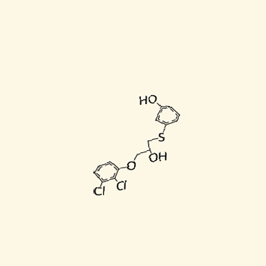 Oc1cccc(SCC(O)COc2cccc(Cl)c2Cl)c1